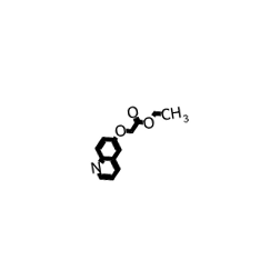 CCOC(=O)COc1ccc2ncccc2c1